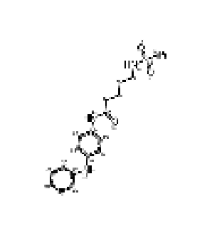 CC(C)S(=O)(=O)NCCCCC(=O)Nc1ccc(Nc2ccccc2)cc1